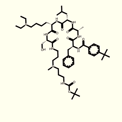 CCN(CC)CCCC[C@H](NC(=O)[C@H](CC(C)C)NC(=O)[C@H](C)NC(=O)[C@H](Cc1ccccc1)NC(=O)c1ccc(C(C)(C)C)cc1)C(=O)N[C@@H](CO)C(=O)NCCCN(C)CCCNC(=O)OC(C)(C)C